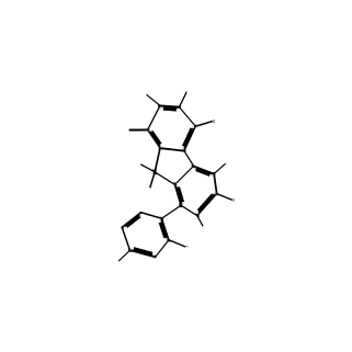 Fc1ccc(-c2c(F)c(F)c(F)c3c2C(F)(F)c2c(F)c(F)c(F)c(F)c2-3)c(F)c1